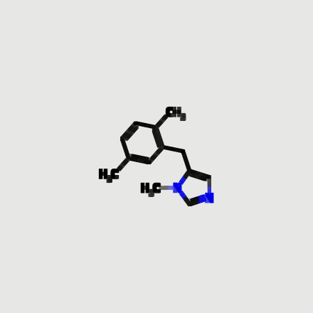 Cc1ccc(C)c(Cc2cncn2C)c1